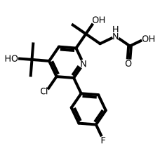 CC(C)(O)c1cc(C(C)(O)CNC(=O)O)nc(-c2ccc(F)cc2)c1Cl